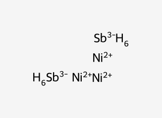 [Ni+2].[Ni+2].[Ni+2].[SbH6-3].[SbH6-3]